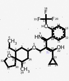 CCC1CC(OC/C(C(=N)c2ccccc2OC(F)(F)F)=C(/O)C2CC2)CC(C)C12CCCO2